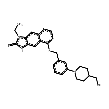 CCn1c(=S)[nH]c2cc3c(NCc4cccc(N5CCC(CO)CC5)c4)ncnc3cc21